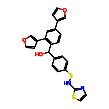 OC(c1ccc(SNc2nccs2)cc1)c1ccc(-c2ccoc2)cc1-c1ccoc1